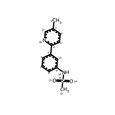 Cc1ccc(-c2cccc(NS(C)(=O)=O)c2)nc1